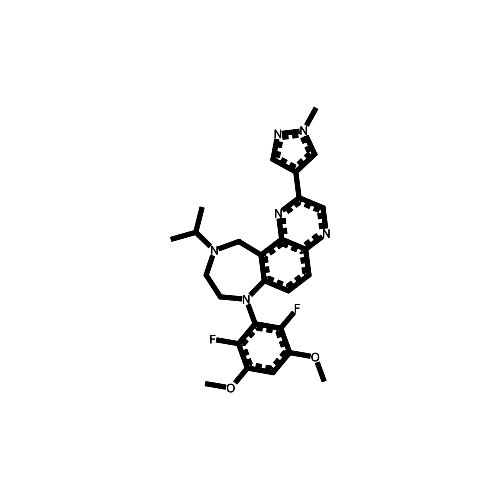 COc1cc(OC)c(F)c(N2CCN(C(C)C)Cc3c2ccc2ncc(-c4cnn(C)c4)nc32)c1F